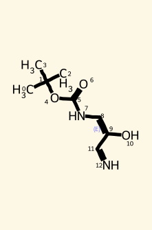 CC(C)(C)OC(=O)N/C=C(/O)C=N